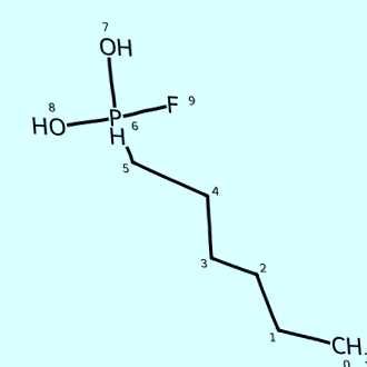 CCCCCC[PH](O)(O)F